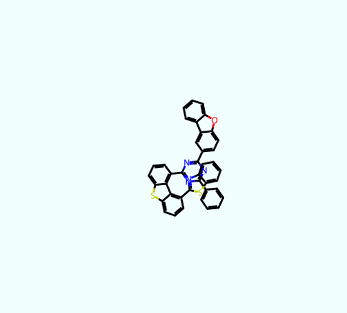 c1ccc(-c2nc(-c3ccc4oc5ccccc5c4c3)nc(-c3cccc4sc5cccc(-c6nc7ccccc7s6)c5c34)n2)cc1